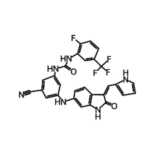 N#Cc1cc(NC(=O)Nc2cc(C(F)(F)F)ccc2F)cc(Nc2ccc3c(c2)NC(=O)/C3=C\c2ccc[nH]2)c1